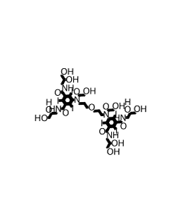 O=C(NCC(O)CO)c1c(I)c(C(=O)NCC(O)CO)c(I)c(N(CCCOCCCN(C(=O)CO)c2c(I)c(C(=O)NCC(O)CO)c(I)c(C(=O)NCC(O)CO)c2I)C(=O)CO)c1I